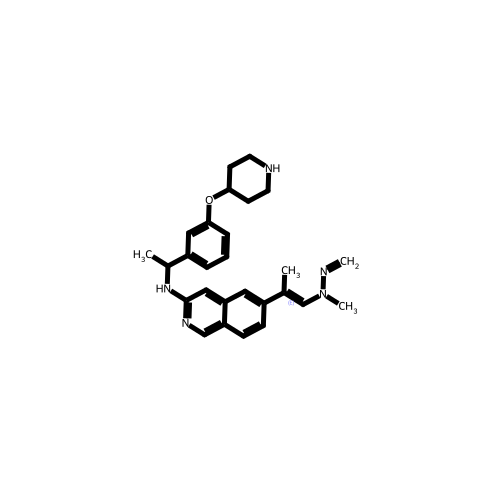 C=NN(C)/C=C(\C)c1ccc2cnc(NC(C)c3cccc(OC4CCNCC4)c3)cc2c1